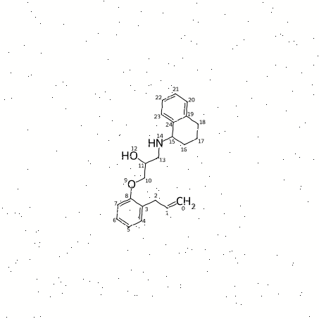 C=CCc1ccccc1OCC(O)CNC1CCCc2ccccc21